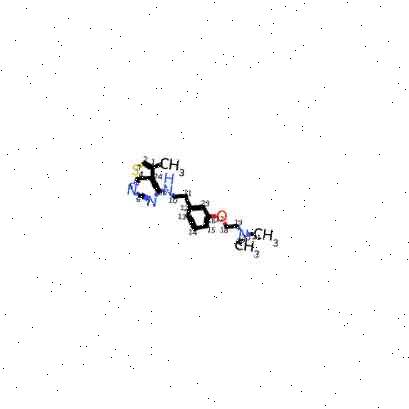 Cc1csc2ncnc(NCCc3cccc(OCCN(C)C)c3)c12